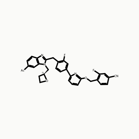 CC(=O)c1ccc2nc(Cc3ccc(-c4cccc(OCc5ccc(C#N)cc5F)n4)cc3F)n(C[C@@H]3CCO3)c2c1